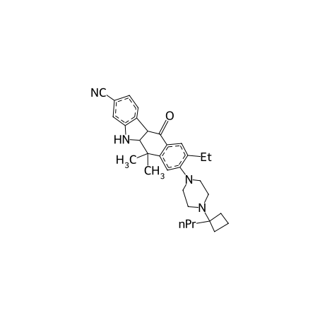 CCCC1(N2CCN(c3cc4c(cc3CC)C(=O)C3c5ccc(C#N)cc5NC3C4(C)C)CC2)CCC1